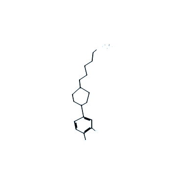 COCCCCCC1CCC(c2ccc(Cl)c(F)c2)CC1